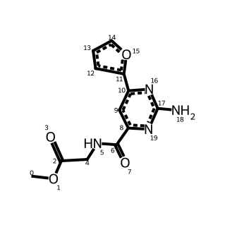 COC(=O)CNC(=O)c1cc(-c2ccco2)nc(N)n1